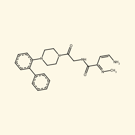 C/N=C(\C=C/N)C(=O)NCC(=O)N1CCN(c2ccccc2-c2ccccc2)CC1